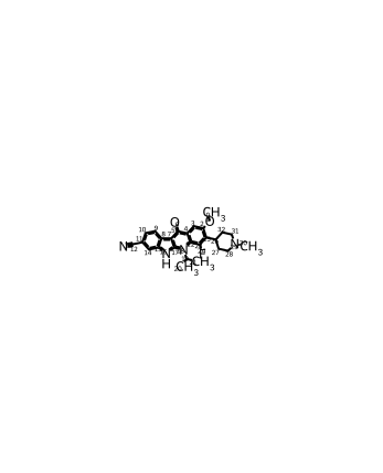 COc1cc2c(=O)c3c4ccc(C#N)cc4[nH]c3n(C(C)C)c2c(F)c1C1CCN(C)CC1